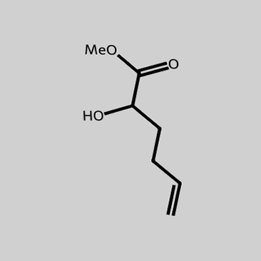 C=CCCC(O)C(=O)OC